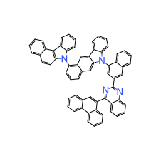 c1ccc2c(-n3c4ccccc4c4cc5c(-n6c7ccccc7c7c8ccccc8ccc76)cccc5cc43)cc(-c3nc(-c4cc5ccccc5c5ccccc45)c4ccccc4n3)cc2c1